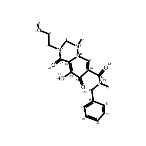 COCCN1CN(C)n2cc(C(=O)N(C)Cc3ccccc3)c(=O)c(O)c2C1=O